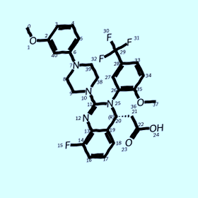 COc1cccc(N2CCN(C3=Nc4c(F)cccc4[C@@H](CC(=O)O)N3c3cc(C(F)(F)F)ccc3OC)CC2)c1